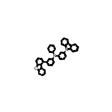 c1ccc(N(c2cccc(-c3cccc4oc5ccccc5c34)c2)c2cccc(-n3c4ccccc4c4ccccc43)c2)cc1